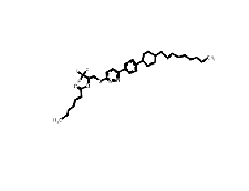 CCCCCCCCCC1CCC(c2ccc(-c3ccc(OCC(OC(=O)CCCCCC)C(F)(F)F)nn3)cc2)CC1